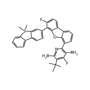 Bc1nc(-c2cccc3c2oc2c(-c4ccc5c(c4)S(C)(C)c4ccccc4-5)c(F)ccc23)c(B)c(F)c1C(C)(C)C